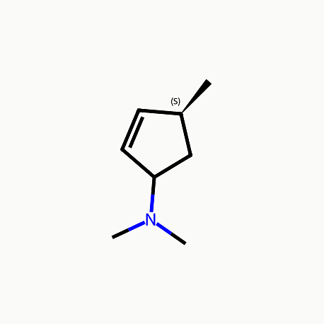 C[C@@H]1C=CC(N(C)C)C1